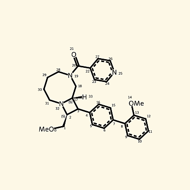 COC[C@@H]1C(c2ccc(-c3ccccc3OC)cc2)[C@H]2CN(C(=O)c3ccncc3)CCCCN12